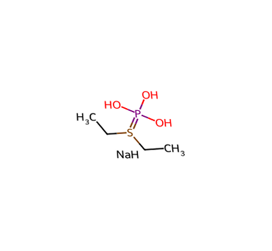 CCS(CC)=P(O)(O)O.[NaH]